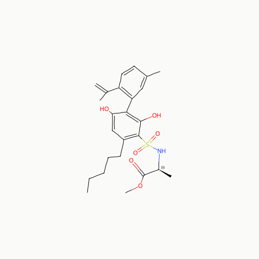 C=C(C)c1ccc(C)cc1-c1c(O)cc(CCCCC)c(S(=O)(=O)N[C@@H](C)C(=O)OC)c1O